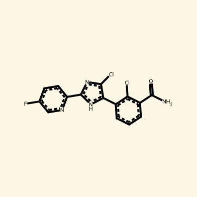 NC(=O)c1cccc(-c2[nH]c(-c3ccc(F)cn3)nc2Cl)c1Cl